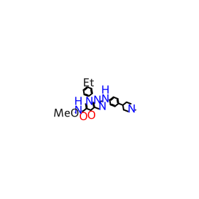 CCc1ccc(-n2cc(C(=O)NOC)c(=O)c3cnc(Nc4ccc(C5CCN(C)CC5)cc4)nc32)cc1